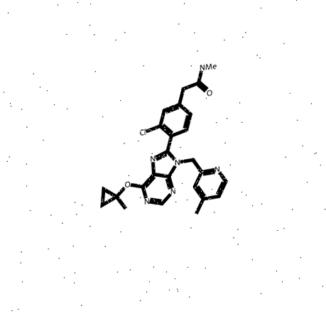 CNC(=O)Cc1ccc(-c2nc3c(OC4(C)CC4)ncnc3n2Cc2cc(C)ccn2)c(Cl)c1